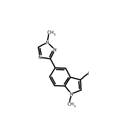 Cn1cnc(-c2ccc3c(c2)c(I)cn3C)n1